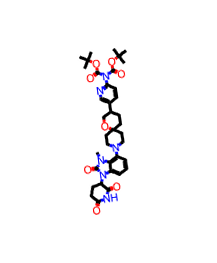 Cn1c(=O)n(C2CCC(=O)NC2=O)c2cccc(N3CCC4(CCC(c5ccc(N(C(=O)OC(C)(C)C)C(=O)OC(C)(C)C)nc5)CO4)CC3)c21